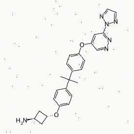 CC(C)(c1ccc(Oc2cnnc(-n3nccn3)c2)cc1)c1ccc(O[C@H]2C[C@H](N)C2)cc1